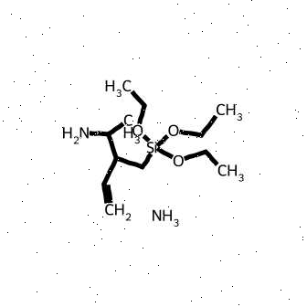 C=CC(C[Si](OCC)(OCC)OCC)C(C)N.N